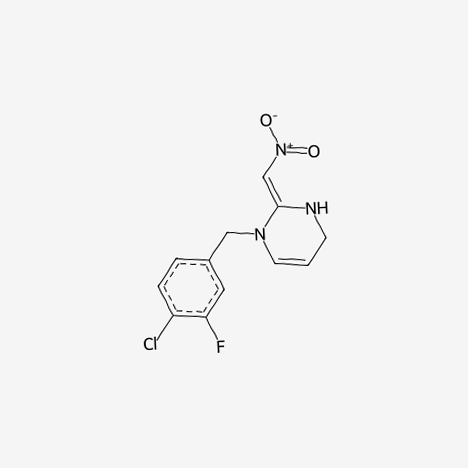 O=[N+]([O-])C=C1NCC=CN1Cc1ccc(Cl)c(F)c1